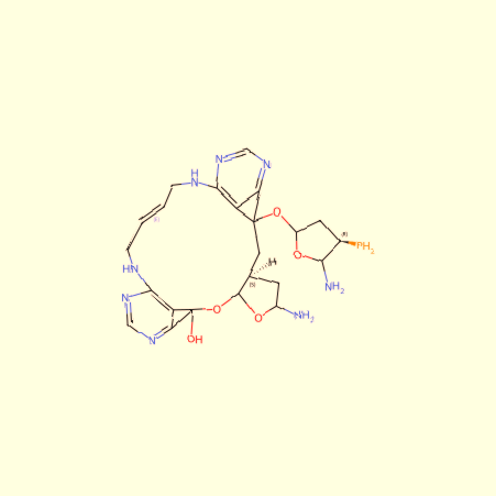 NC1C[C@@H]2CC3(OC4C[C@@H](P)C(N)O4)c4ncnc(c43)NC/C=C/CNc3ncnc4c3C4(O)OC2O1